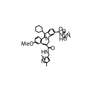 COc1ccc2c(c1)C=C(C(=O)NCc1cc(C)nn1C)Cn1c-2c(C2CCCCC2)c2ccc(C(=O)NS(=O)(=O)N(C)C)cc21